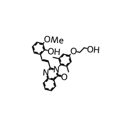 COc1cccc(/C=C/c2nc3ccccc3c(=O)n2-c2c(C)cc(OCCO)cc2C)c1O